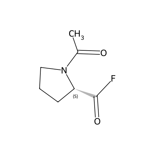 CC(=O)N1CCC[C@H]1C(=O)F